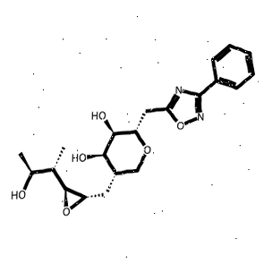 C[C@H]([C@@H]1O[C@H]1C[C@H]1CO[C@@H](Cc2nc(-c3ccccc3)no2)[C@H](O)[C@@H]1O)[C@H](C)O